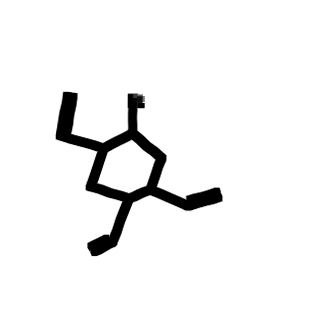 C=CC1CC(C=C)C(CC)CC1C=C